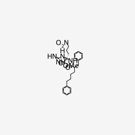 COC(=O)[C@@](CCC[N+](=O)[O-])(NC(=N)N)NC(=O)C(CCCCc1ccccc1)Cc1ccccc1